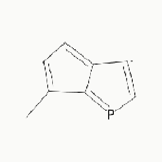 CC1=CC=C2[C]=CP=C12